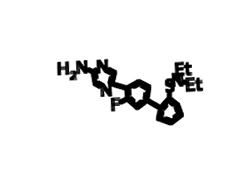 CCN(CC)Sc1ccccc1-c1ccc(-c2cnc(N)cn2)c(F)c1